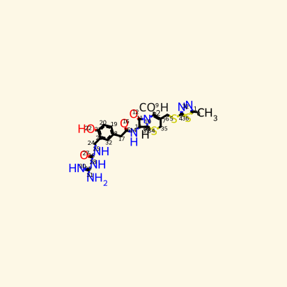 Cc1nnc(SCC2=C(C(=O)O)N3C(=O)C(NC(=O)Cc4ccc(O)c(CNC(=O)NC(=N)N)c4)[C@@H]3SC2)s1